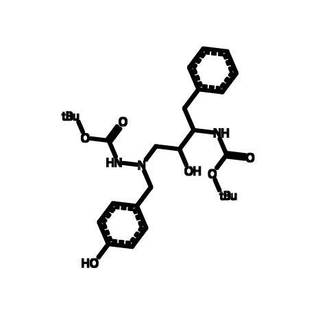 CC(C)(C)OC(=O)NC(Cc1ccccc1)C(O)CN(Cc1ccc(O)cc1)NC(=O)OC(C)(C)C